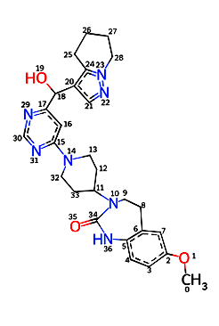 COc1ccc2c(c1)CCN(C1CCN(c3cc(C(O)c4cnn5c4CCCC5)ncn3)CC1)C(=O)N2